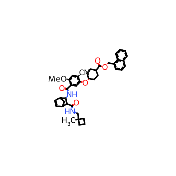 COc1cc(C#N)c(OC2CCC(C(=O)OCc3cccc4ccccc34)CC2)cc1C(=O)NC1C2C=CC(C2)C1C(=O)NCC1(C)CCC1